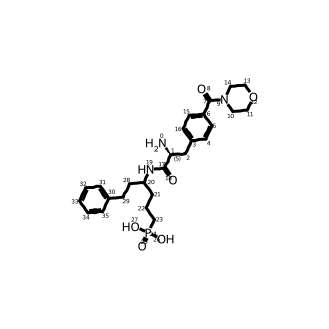 N[C@@H](Cc1ccc(C(=O)N2CCOCC2)cc1)C(=O)NC(CCCP(=O)(O)O)CCc1ccccc1